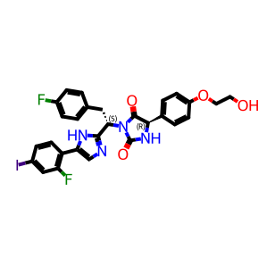 O=C1N[C@H](c2ccc(OCCO)cc2)C(=O)N1[C@@H](Cc1ccc(F)cc1)c1ncc(-c2ccc(I)cc2F)[nH]1